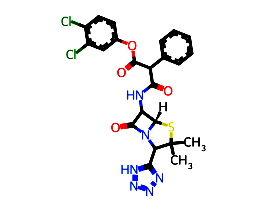 CC1(C)S[C@H]2C(NC(=O)C(C(=O)Oc3ccc(Cl)c(Cl)c3)c3ccccc3)C(=O)N2C1c1nnn[nH]1